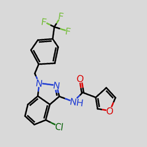 O=C(Nc1nn(Cc2ccc(C(F)(F)F)cc2)c2cccc(Cl)c12)c1ccoc1